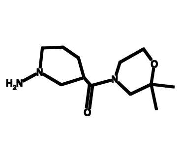 CC1(C)CN(C(=O)C2CCCN(N)C2)CCO1